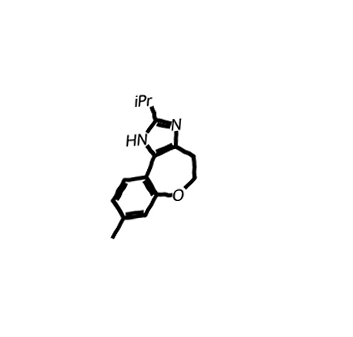 Cc1ccc2c(c1)OCCc1nc(C(C)C)[nH]c1-2